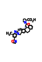 CCCc1nc2c(C)cc(-c3ncco3)cc2n1Cc1ccc2c(c1)CCc1ccccc1/C2=C\C(=O)N1CCCC1C(=O)O